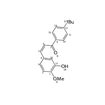 COc1ccc(/C=C\C(=O)c2ccc(C(C)(C)C)cc2)cc1O